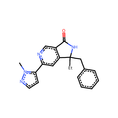 CCC1(Cc2ccccc2)NC(=O)c2cnc(-c3ccnn3C)cc21